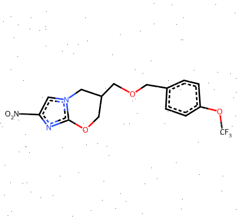 O=[N+]([O-])c1cn2c(n1)OCC(COCc1ccc(OC(F)(F)F)cc1)C2